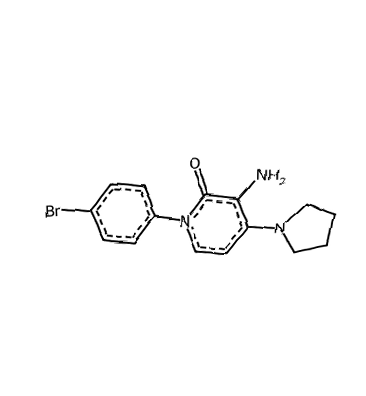 Nc1c(N2CCCC2)ccn(-c2ccc(Br)cc2)c1=O